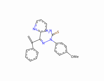 C=C(C(=NN(C(N)=S)c1ccc(OC)cc1)c1ccccn1)c1ccccc1